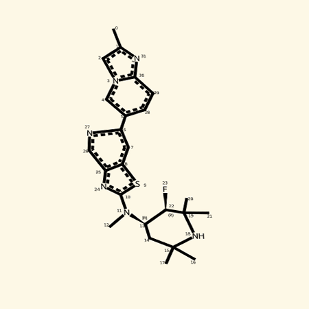 Cc1cn2cc(-c3cc4sc(N(C)[C@@H]5CC(C)(C)NC(C)(C)[C@@H]5F)nc4cn3)ccc2n1